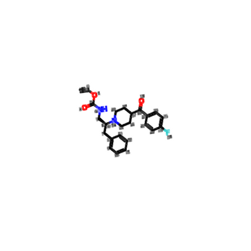 CC(C)(C)OC(=O)NC[C@H](Cc1ccccc1)N1CCC(C(=O)c2ccc(F)cc2)CC1